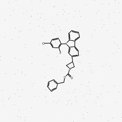 O=C(OCc1ccccc1)N1CC(c2ccc3c4ccccc4n(-c4ccc(Cl)cc4F)c3c2)C1